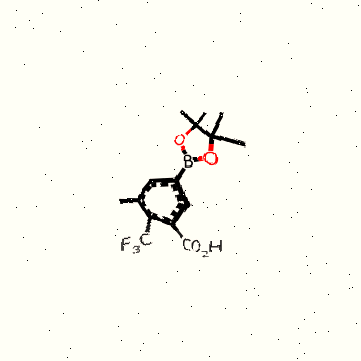 Cc1cc(B2OC(C)(C)C(C)(C)O2)cc(C(=O)O)c1C(F)(F)F